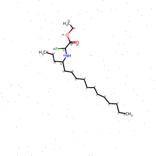 CCCCCCCCCCCCC(CCC)NC(F)C(=O)OCC